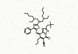 CCCCC(CC)CN(CC(CC)CCCC)c1nc(-c2ccccc2)c(/N=C2/C(CCC)=C(C#N)C(=O)n3nc(CC(C)(C)C)nc32)s1